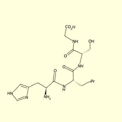 CC(C)C[C@H](NC(=O)[C@@H](N)Cc1c[nH]cn1)C(=O)N[C@@H](CO)C(=O)NCC(=O)O